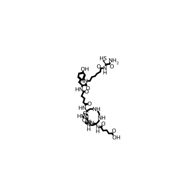 NC(=O)[C@H](CS)NC(=O)CCCCCNC(=O)C(Cc1ccc(O)cc1)NC(=O)CCCC(=O)N[C@]12CNCCNC[C@](NC(=O)CCCC(=O)O)(CNCCNC1)NCCNC2